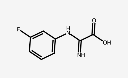 N=C(Nc1cccc(F)c1)C(=O)O